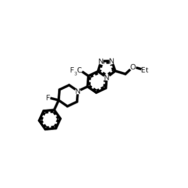 CCOCc1nnc2c(C(F)(F)F)c(N3CCC(F)(c4ccccc4)CC3)ccn12